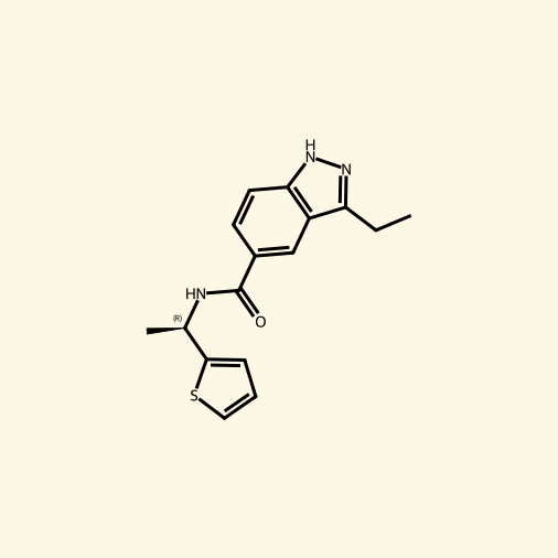 CCc1n[nH]c2ccc(C(=O)N[C@H](C)c3cccs3)cc12